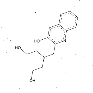 OCCN(CCO)Cc1nc2ccccc2cc1O